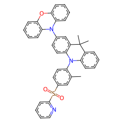 Cc1cc(S(=O)(=O)c2ccccn2)ccc1N1c2ccccc2C(C)(C)c2cc(N3c4ccccc4Oc4ccccc43)ccc21